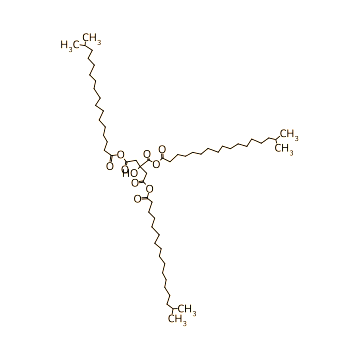 CC(C)CCCCCCCCCCCCCCC(=O)OC(=O)CC(O)(CC(=O)OC(=O)CCCCCCCCCCCCCCC(C)C)C(=O)OC(=O)CCCCCCCCCCCCCCC(C)C